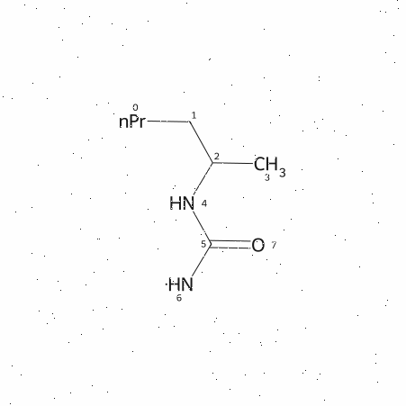 CCCCC(C)NC([NH])=O